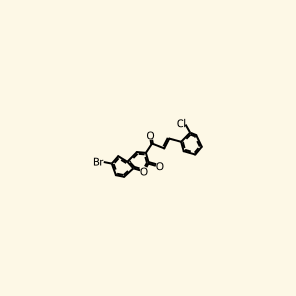 O=C(C=Cc1ccccc1Cl)c1cc2cc(Br)ccc2oc1=O